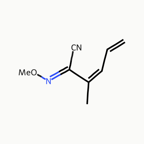 C=C/C=C(C)\C(C#N)=N\OC